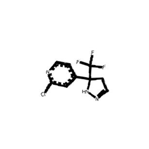 FC(F)(F)C1(c2ccnc(Cl)c2)CC=NN1